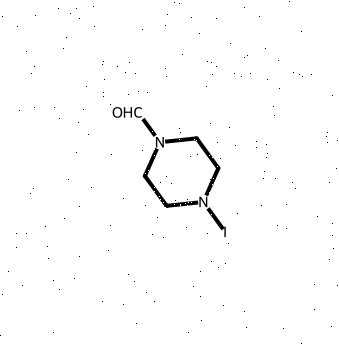 O=CN1CCN(I)CC1